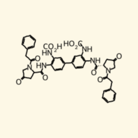 O=C1CC(C(=O)Nc2ccc(-c3ccc(NC(=O)[C@@H]4CC(=O)CN4C(=O)Cc4ccccc4)c(NC(=O)O)c3)cc2NC(=O)O)N(C(=O)Cc2ccccc2)C1